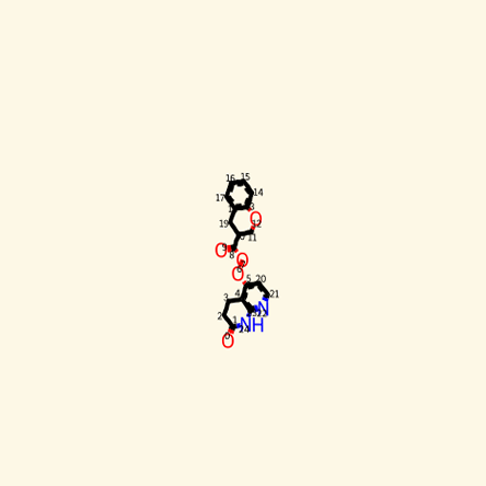 O=C1CCc2c(OOC(=O)C3COc4ccccc4C3)ccnc2N1